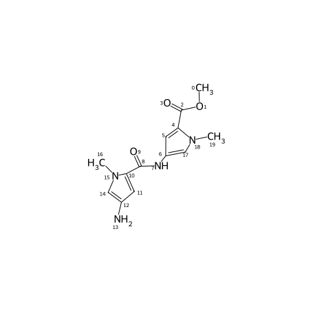 COC(=O)c1cc(NC(=O)c2cc(N)cn2C)cn1C